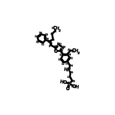 CCCC/C(=C\c1nnc(-c2ccc(CNCCCP(=O)(O)O)cc2CC)o1)c1ccccc1